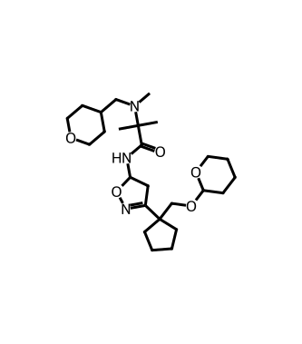 CN(CC1CCOCC1)C(C)(C)C(=O)NC1CC(C2(COC3CCCCO3)CCCC2)=NO1